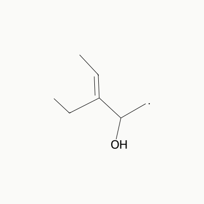 [CH2]C(O)C(=CC)CC